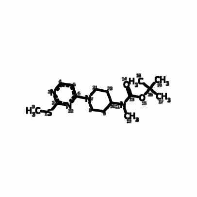 CSc1nccc(N2CCC(N(C)C(=O)OC(C)(C)C)CC2)n1